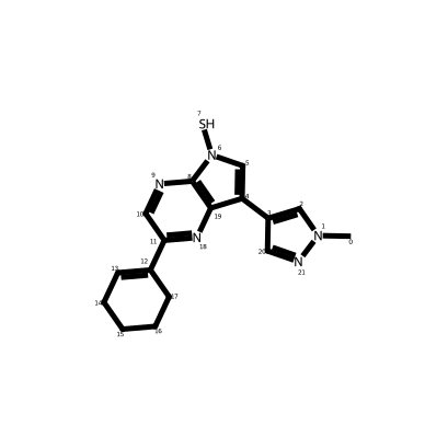 Cn1cc(-c2cn(S)c3ncc(C4=CCCCC4)nc23)cn1